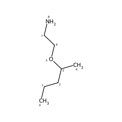 CCCC(C)OCCN